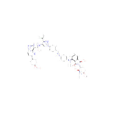 CN(CC1CCC(n2cc(NC(=O)c3cnn4ccc(C5CCC(O)CC5)nc34)c(C(F)F)n2)CC1)[C@H]1CC[C@H](Nc2cccc3c2C(=O)N(C2CCC(=O)NC2=O)C3=O)CC1